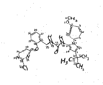 COc1cccc(-n2nc(C(C)(C)C)cc2NC(=O)NCc2ccccc2Oc2ccnc(Cl)n2)c1